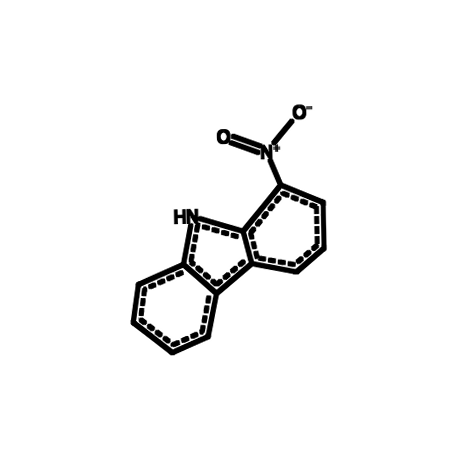 O=[N+]([O-])c1cccc2c1[nH]c1ccccc12